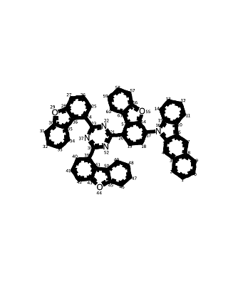 c1ccc2cc3c(cc2c1)c1ccccc1n3-c1ccc(-c2nc(-c3cccc4oc5ccccc5c34)nc(-c3cccc4oc5ccccc5c34)n2)c2c1oc1ccccc12